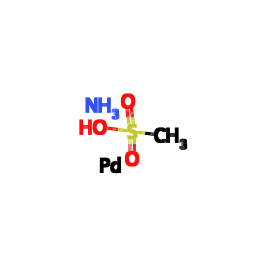 CS(=O)(=O)O.N.[Pd]